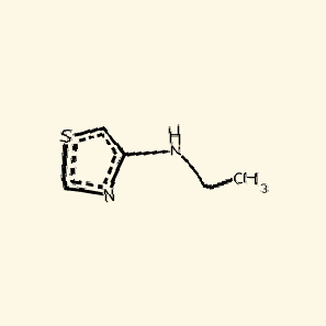 CCNc1cscn1